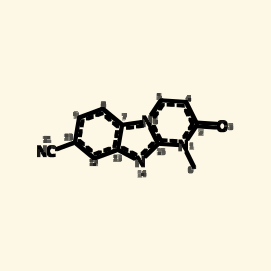 Cn1c(=O)ccn2c3ccc(C#N)cc3nc12